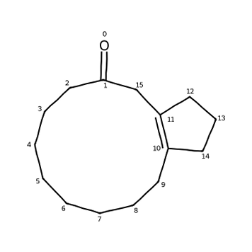 O=C1CCCCCCCCC2=C(CCC2)C1